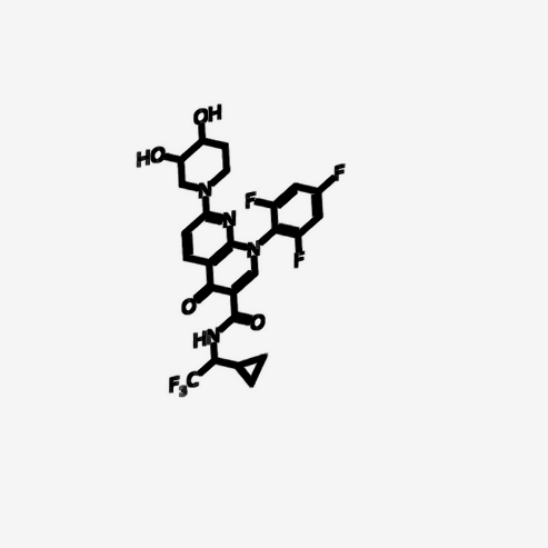 O=C(NC(C1CC1)C(F)(F)F)c1cn(-c2c(F)cc(F)cc2F)c2nc(N3CCC(O)C(O)C3)ccc2c1=O